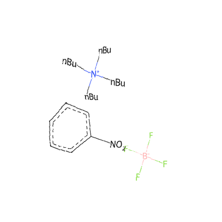 CCCC[N+](CCCC)(CCCC)CCCC.F[B-](F)(F)F.O=[N+]([O-])c1ccccc1